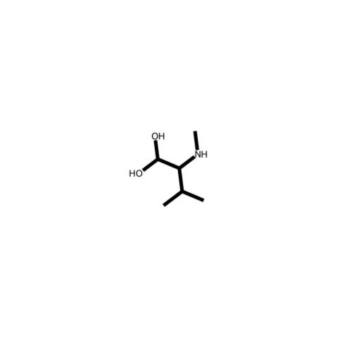 CNC(C(C)C)C(O)O